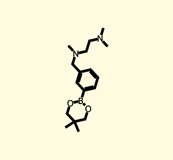 CN(C)CCN(C)Cc1cccc(B2OCC(C)(C)CO2)c1